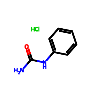 Cl.NC(=O)Nc1ccccc1